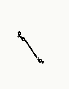 C=C(C)c1ccc(COCCCCCCCCCCCCCCCCCCc2ccc(C=CC(=O)c3ccccc3)cc2)cc1